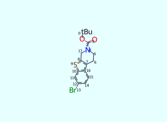 CC(C)(C)OC(=O)N1CCc2c(sc3cc(Br)ccc23)C1